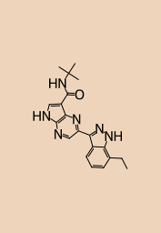 CCc1cccc2c(-c3cnc4[nH]cc(C(=O)NC(C)(C)C)c4n3)n[nH]c12